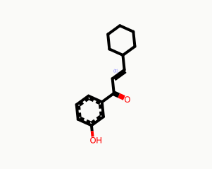 O=C(/C=C/C1CCCCC1)c1cccc(O)c1